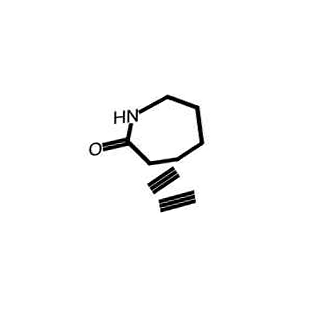 C#C.C#C.O=C1CCCCCN1